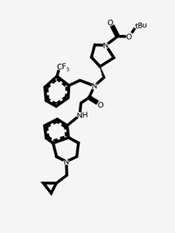 CC(C)(C)OC(=O)N1CC[C@H](CN(Cc2ccccc2C(F)(F)F)C(=O)CNc2cccc3c2CCN(CC2CC2)C3)C1